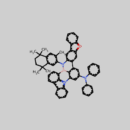 Cc1cc2c(cc1N1B3c4c(cc(N(c5ccccc5)c5ccccc5)cc4-n4c5ccccc5c5cccc3c54)-c3cc4oc5ccccc5c4cc31)C(C)(C)CCC2(C)C